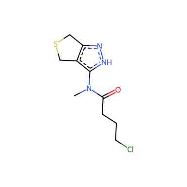 CN(C(=O)CCCCl)c1[nH]nc2c1CSC2